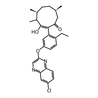 CCc1ccc(Oc2cnc3cc(Cl)ccc3n2)cc1/C1=C(\O)C(C)[C@@H](C)CC[C@@H](C)CC1=O